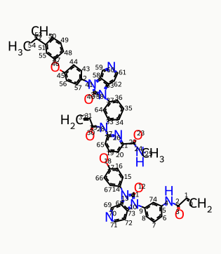 C=CC(=O)Nc1cccc(-n2c(=O)n(-c3ccc(Oc4cc(C(=O)NC)nc(N(C(=O)C=C)c5cccc(-n6c(=O)n(-c7ccc(Oc8cccc(C(C)C)c8)cc7)c7cnccc76)c5)c4)cc3)c3cnccc32)c1